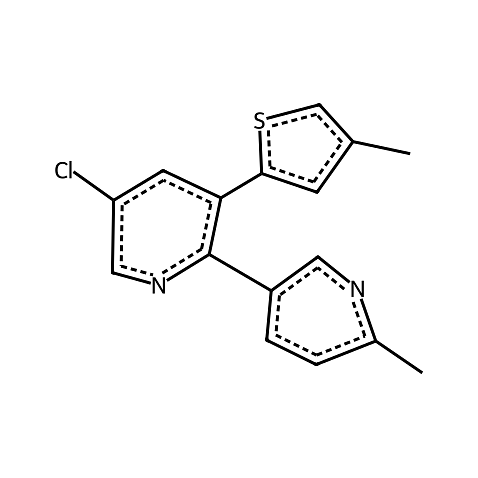 Cc1csc(-c2cc(Cl)cnc2-c2ccc(C)nc2)c1